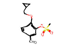 CS(=O)(=O)Oc1cc(C=O)ccc1OCC1CC1